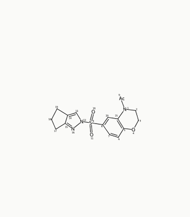 CC(=O)N1CCOc2ccc(S(=O)(=O)n3cc4c(n3)CCC4)cc21